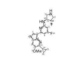 COc1cc2ncc(-c3cc(F)cc(N[C@H]4CNC[C@@H]4F)n3)n2nc1C1CC1